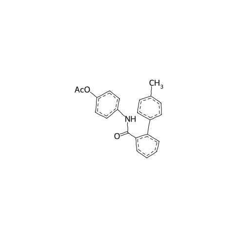 CC(=O)Oc1ccc(NC(=O)c2ccccc2-c2ccc(C)cc2)cc1